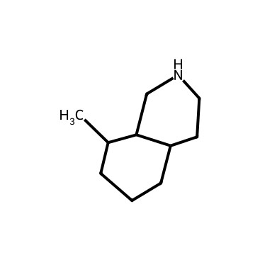 CC1CCCC2CCNCC12